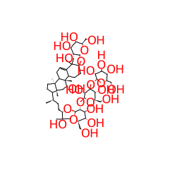 C[C@H](CC[C@@H](O[C@@H]1O[C@H](CO)[C@@H](O)[C@H](O)[C@H]1O[C@@H]1O[C@H](CO)[C@@H](O)[C@H](O[C@@H]2OC(CO)[C@@H](O)[C@H](O)[C@H]2O)[C@H]1O)C(C)(C)O)C1CC[C@@]2(C)C3CC=C4C(CC[C@H](O[C@@H]5O[C@H](CO)[C@@H](O)[C@H](O)[C@H]5O)C4(C)C)[C@]3(C)[C@H](O)C[C@]12C